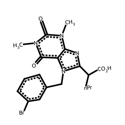 CCCC(C(=O)O)c1nc2c(c(=O)n(C)c(=O)n2C)n1Cc1cccc(Br)c1